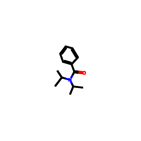 CC(C)N(C(=O)c1ccccc1)C(C)C